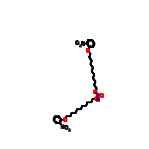 O=[N+]([O-])c1ccccc1OCCCCCCCCCCCO[PH](=O)OCCCCCCCCCCCOc1ccccc1[N+](=O)[O-]